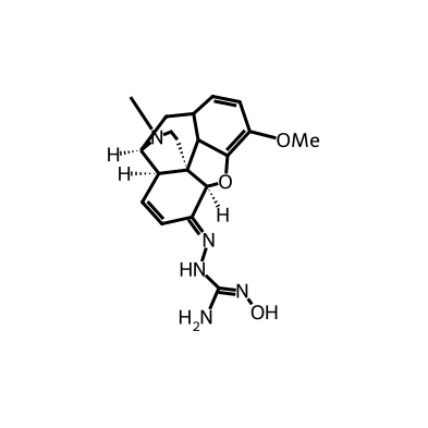 COC1=C2O[C@H]3C(=NNC(N)=NO)C=C[C@H]4[C@H]5CC(C=C1)C2[C@@]34CCN5C